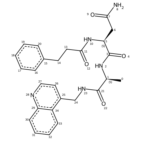 C[C@H](NC(=O)[C@H](CC(N)=O)NC(=O)CCc1ccccc1)C(=O)NCc1ccnc2ccccc12